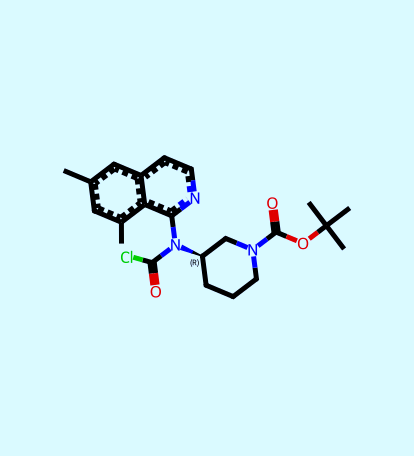 Cc1cc(C)c2c(N(C(=O)Cl)[C@@H]3CCCN(C(=O)OC(C)(C)C)C3)nccc2c1